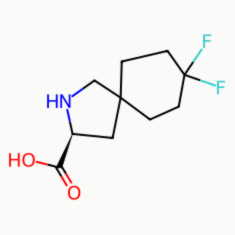 O=C(O)[C@@H]1CC2(CCC(F)(F)CC2)CN1